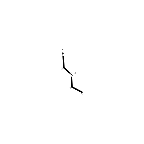 C[CH]SCF